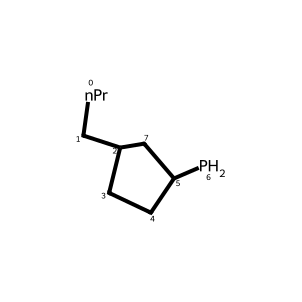 CCCCC1CCC(P)C1